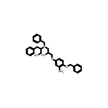 Nc1cc(OCC(O)CN(Cc2ccccc2)C(CO)Cc2ccccc2)ccc1OCc1ccccc1